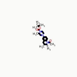 CC(=O)N1c2ccc(N3CCN(C(=O)OC(C)(C)C)C(C)C3)cc2CC(C)[C@@H]1C